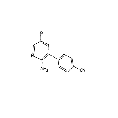 N#Cc1ccc(-c2cc(Br)cnc2N)cc1